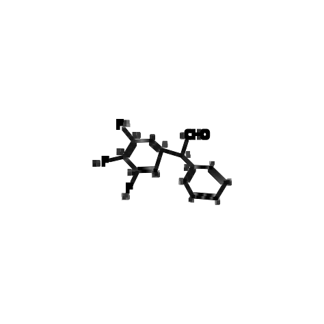 O=CC(c1ccccc1)c1cc(F)c(F)c(F)c1